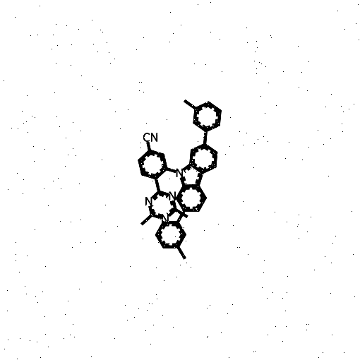 Cc1cccc(-c2ccc3c4ccc(-c5cccc(C)c5)cc4n(-c4cc(C#N)ccc4-c4nc(C)nc(C)n4)c3c2)c1